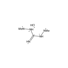 CNNC(=N)NNC.Cl